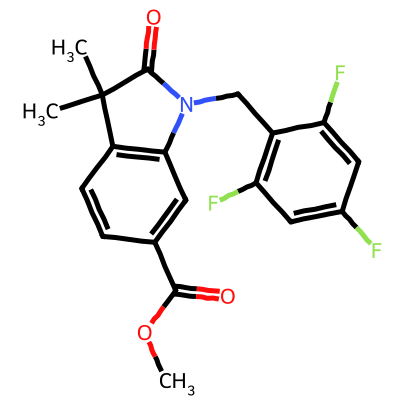 COC(=O)c1ccc2c(c1)N(Cc1c(F)cc(F)cc1F)C(=O)C2(C)C